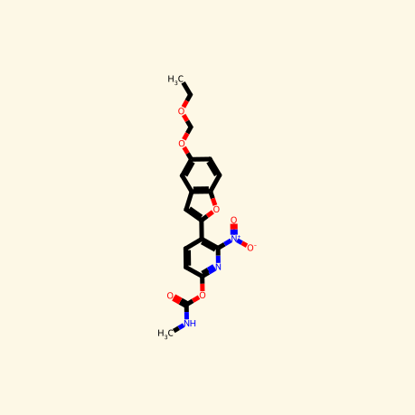 CCOCOc1ccc2oc(-c3ccc(OC(=O)NC)nc3[N+](=O)[O-])cc2c1